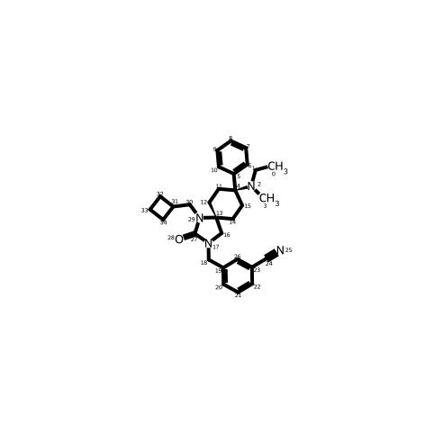 CCN(C)[C@]1(c2ccccc2)CC[C@@]2(CC1)CN(Cc1cccc(C#N)c1)C(=O)N2CC1CCC1